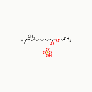 C=CCOCC(CCCCCCCCC(C)C)OCCOS(=O)(=O)O